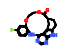 O=C1OCCOc2cc(F)ccc2Nc2ncnc3[nH]c4c(c23)CC1CC4